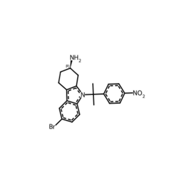 CC(C)(c1ccc([N+](=O)[O-])cc1)n1c2c(c3cc(Br)ccc31)CC[C@@H](N)C2